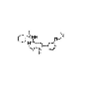 C[C@@H](Nc1ncnc2[nH]c(-c3cccc(N=CN(C)C)c3)cc12)c1ccccc1